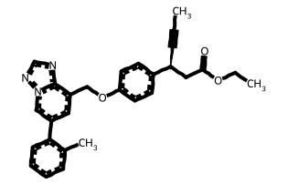 CC#C[C@@H](CC(=O)OCC)c1ccc(OCc2cc(-c3ccccc3C)cn3ncnc23)cc1